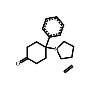 C=C.O=C1CCC(c2ccccc2)(N2CCCC2)CC1